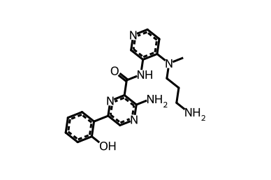 CN(CCCN)c1ccncc1NC(=O)c1nc(-c2ccccc2O)cnc1N